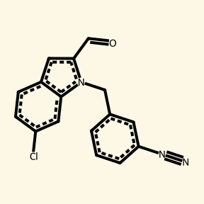 N#[N+]c1cccc(Cn2c(C=O)cc3ccc(Cl)cc32)c1